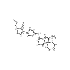 C=CCn1cnn(-c2ccc(Sc3cccc(C4(C(N)=O)CCOCC4)c3)cc2)c1=O